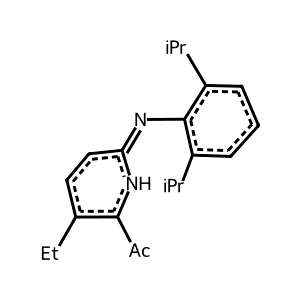 CCc1ccc(=Nc2c(C(C)C)cccc2C(C)C)[nH]c1C(C)=O